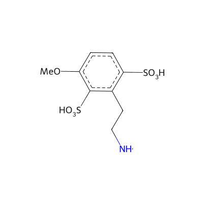 COc1ccc(S(=O)(=O)O)c(CC[NH])c1S(=O)(=O)O